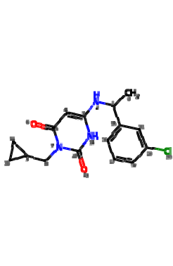 CC(Nc1cc(=O)n(CC2CC2)c(=O)[nH]1)c1cccc(Cl)c1